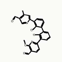 COc1nc(-c2cccc(-c3cccc(-c4cc(C)c(C=O)cn4)c3Cl)c2Cl)ccc1C=O